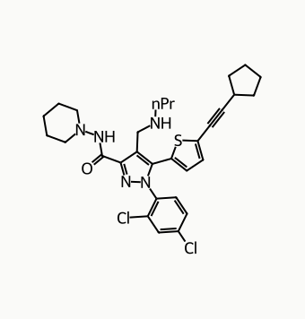 CCCNCc1c(C(=O)NN2CCCCC2)nn(-c2ccc(Cl)cc2Cl)c1-c1ccc(C#CC2CCCC2)s1